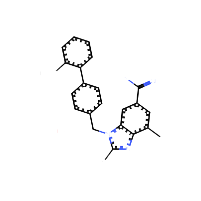 CCCc1nc2c(C)cc(C(=N)N)cc2n1Cc1ccc(-c2ccccc2C(=O)O)cc1.O